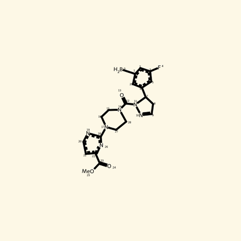 Bc1cc(F)cc(C2CC=NN2C(=O)N2CCN(c3nccc(C(=O)OC)n3)CC2)c1